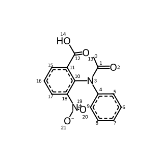 CC(=O)N(c1ccccc1)c1c(C(=O)O)cccc1[N+](=O)[O-]